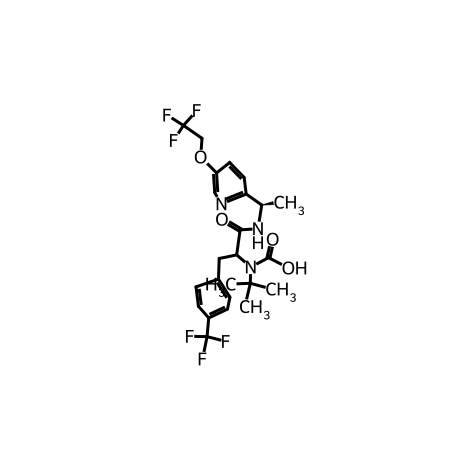 C[C@@H](NC(=O)C(Cc1ccc(C(F)(F)F)cc1)N(C(=O)O)C(C)(C)C)c1ccc(OCC(F)(F)F)cn1